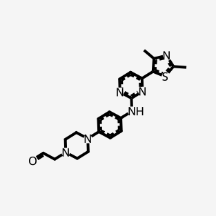 Cc1nc(C)c(-c2ccnc(Nc3ccc(N4CCN(CC=O)CC4)cc3)n2)s1